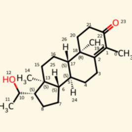 CC1=C2CC[C@H]3[C@@H]4CC[C@H](C(C)O)[C@@]4(C)CC[C@@H]3[C@@]2(C)CCC1=O